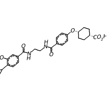 COc1cc(C(=O)NCCNC(=O)c2ccc(O[C@H]3CC[C@@H](C(=O)O)CC3)cc2)ccc1C1CC1